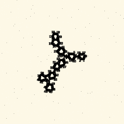 c1ccc(-c2ccc(N(c3ccc(-c4ccc5ccccc5c4)cc3)c3ccc4cc(-c5ccc6c(c5)c5ccccc5n6-c5ccccc5)ccc4c3)cc2)cc1